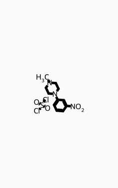 CN1CCN(c2cccc([N+](=O)[O-])c2)CC1.O=S(=O)(Cl)Cl